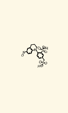 O=Nc1ccc2c(c1)CCCN2c1ccc(CS(=O)(=O)O)cc1S(=O)(=O)O